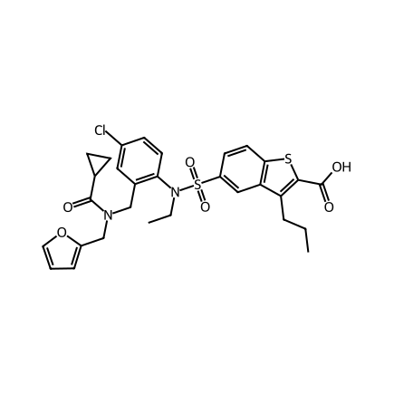 CCCc1c(C(=O)O)sc2ccc(S(=O)(=O)N(CC)c3ccc(Cl)cc3CN(Cc3ccco3)C(=O)C3CC3)cc12